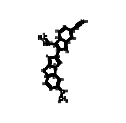 CNc1c(-c2cn3c(n2)sc2ccc(OC)cc23)nc2cc(C#N)ccn12